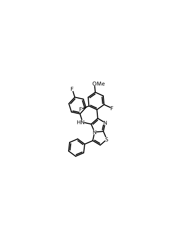 COc1cc(F)c(-c2nc3scc(-c4ccccc4)n3c2Nc2ccc(F)cc2)c(F)c1